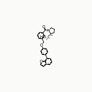 O=C(O)[C@@H]1CCCN1C(=O)c1cccc(COc2ccc(-c3cccc4ccoc34)cc2)c1